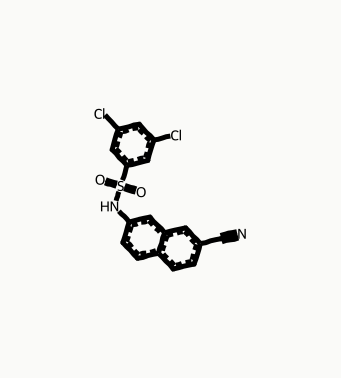 N#Cc1ccc2ccc(NS(=O)(=O)c3cc(Cl)cc(Cl)c3)cc2c1